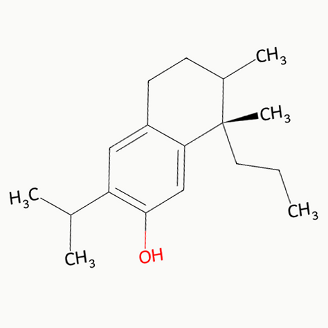 CCC[C@]1(C)c2cc(O)c(C(C)C)cc2CCC1C